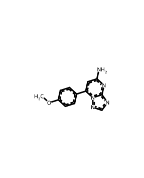 COc1ccc(-c2cc(N)nc3ncnn23)cc1